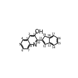 Oc1cc2ccccc2nc1C1=Cc2ccccc2C1